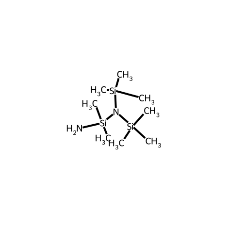 C[Si](C)(C)N([Si](C)(C)C)[Si](C)(C)N